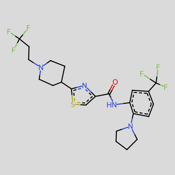 O=C(Nc1cc(C(F)(F)F)ccc1N1CCCC1)c1csc(C2CCN(CCC(F)(F)F)CC2)n1